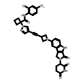 O=C1CCC(N2Cc3c([nH]c4ccc(N5CC(C#Cc6cnn(C7(C(=O)Nc8ccc(C(F)(F)F)cc8Cl)CCC7)c6)C5)cc34)C2=O)C(=O)N1